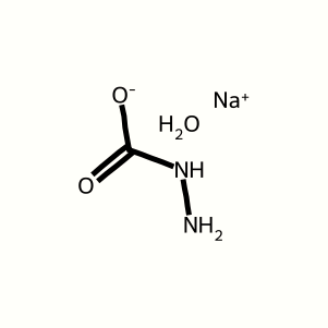 NNC(=O)[O-].O.[Na+]